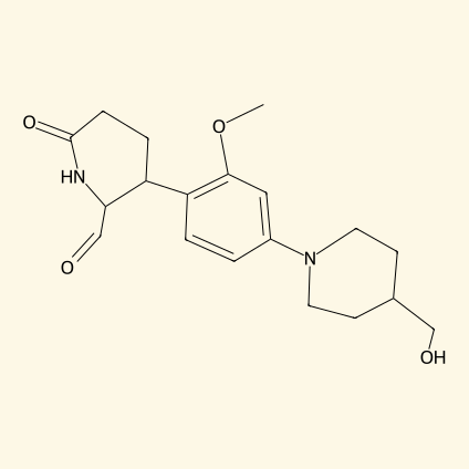 COc1cc(N2CCC(CO)CC2)ccc1C1CCC(=O)NC1C=O